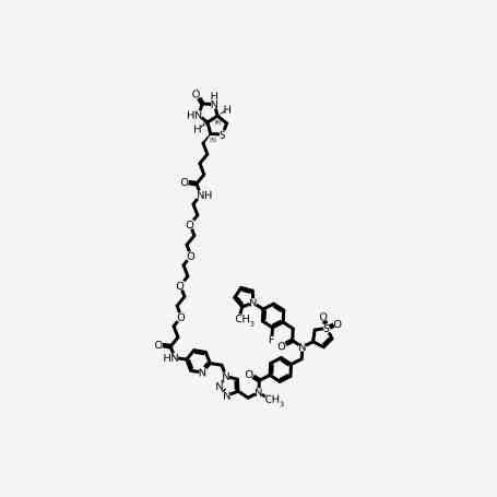 Cc1cccn1-c1ccc(CC(=O)N(Cc2ccc(C(=O)N(C)Cc3cn(Cc4ccc(NC(=O)CCOCCOCCOCCOCCNC(=O)CCCC[C@@H]5SC[C@@H]6NC(=O)N[C@@H]65)cn4)nn3)cc2)C2C=CS(=O)(=O)C2)c(F)c1